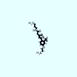 CCCCNC(=O)Cc1cc(-c2ccc(OCCC)cc2C(F)(F)F)no1